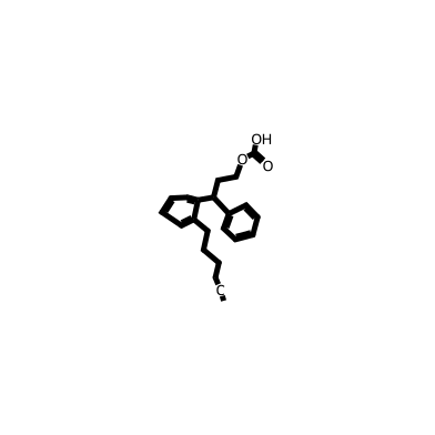 CCCCCCc1ccccc1C(CCOC(=O)O)c1ccccc1